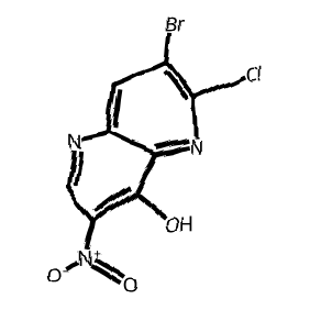 O=[N+]([O-])c1cnc2cc(Br)c(Cl)nc2c1O